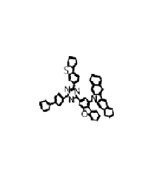 c1ccc(-c2ccc(-c3nc(-c4cc(-n5c6cc7ccccc7cc6c6cc7ccccc7cc65)c5c(c4)oc4ccccc45)nc(-c4ccc5c(c4)sc4ccccc45)n3)cc2)cc1